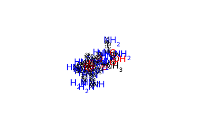 C[C@H](NC(=O)[C@@H](NC(=O)[C@@H](N)CCCCN)[C@@H](O)CN)C(=O)NCC(=O)/N=C(\CCCN)C(=O)N1CCC[C@H]1C(=O)N[C@@H](Cc1cnc[nH]1)C(=O)N[C@@H](CCCCN)C(=O)N/C(=C\CCNC(=N)N)C(=O)N[C@@H](CCCCN)C(N)=O